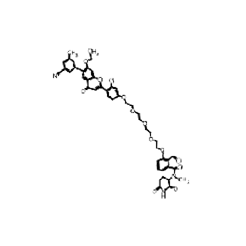 CCOc1cc2oc(-c3ccc(OCCOCCOCCOCCOc4cccc(C(=O)N(C)C5CCC(=O)NC5=O)c4C=O)cc3Cl)cc(=O)c2cc1-c1cc(C)cc(C#N)c1